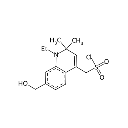 CCN1c2cc(CO)ccc2C(CS(=O)(=O)Cl)=CC1(C)C